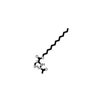 CCCCCCCCCCCCCOC(=O)[C@H](CS)N[Se]C(C)=O